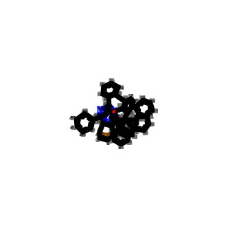 C1=CC2SC1c1ccc3c(c12)C1(c2ccccc2-c2ccc4ccccc4c21)c1cccc(-c2ccccc2-c2nc(-c4ccccc4)nc(-c4ccccc4)n2)c1-3